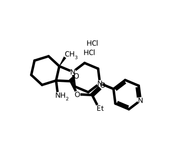 CCC(=O)OC(=O)C1(N)CCCC[C@]1(C)N1CCN(c2ccncc2)CC1.Cl.Cl